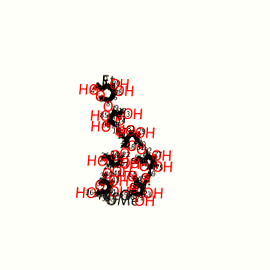 CC[C@@H]1C(CO)OCC(OC[C@@H]2C(CO)O[C@H](COC[C@@H]3C(CO[C@H]4OC(CO)[C@@H](COC[C@H]5OC(CO)[C@@H](COC)C(O)C5O)C(O)C4O)O[C@H](COC[C@@H]4C(CO)O[C@H](COC[C@@H]5C(CO)O[C@H](COC)C(O)C5O)C(O)C4O)C(O)C3O)C(O)C2O)CC(O)C1O